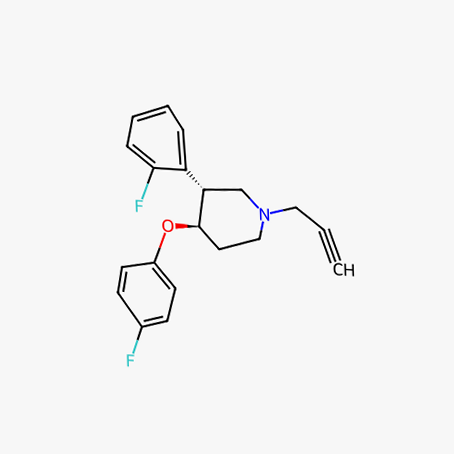 C#CCN1CC[C@@H](Oc2ccc(F)cc2)[C@H](c2ccccc2F)C1